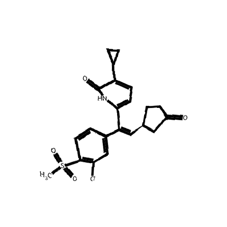 CS(=O)(=O)c1ccc(C(=C[C@H]2CCC(=O)C2)c2ccc(C3CC3)c(=O)[nH]2)cc1Cl